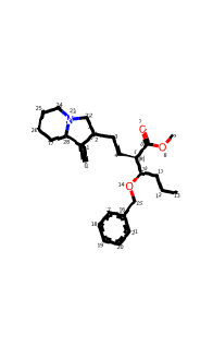 C=C1C(CC[C@@H](C(=O)OC)C(CCC)OCc2ccccc2)CN2CCCCC12